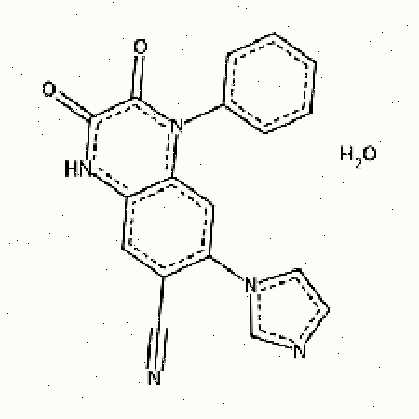 N#Cc1cc2[nH]c(=O)c(=O)n(-c3ccccc3)c2cc1-n1ccnc1.O